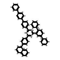 c1ccc(-c2ccc(-c3ccc(-c4nc(-c5ccc(-c6cccc7ccccc67)cc5)nc(-c5cc(-c6ccccc6)ccc5-c5ccccc5)n4)cc3)cc2)cc1